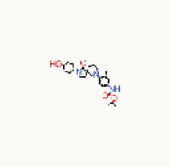 Cc1cc(NC(=O)OC(C)C)ccc1N1CCC[C@]2(CCN([C@H]3CC[C@H](O)CC3)C2=O)C1